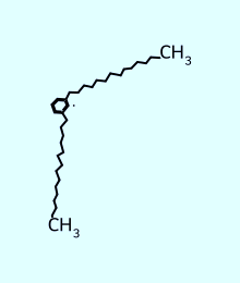 CCCCCCCCCCCCCCCc1[c]c(CCCCCCCCCCCCCCC)ccc1